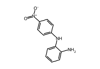 Nc1ccccc1Nc1ccc([N+](=O)[O-])cc1